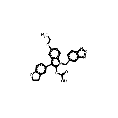 CCOc1ccc2c(c1)c(-c1ccc3c(c1)CCO3)c(OC(=O)O)n2Cc1ccc2nsnc2c1